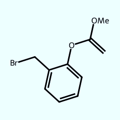 C=C(OC)Oc1ccccc1CBr